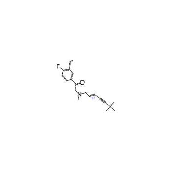 CN(C/C=C/C#CC(C)(C)C)CC(=O)c1ccc(F)c(F)c1